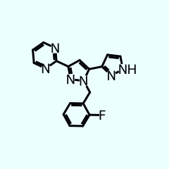 Fc1ccccc1Cn1nc(-c2ncccn2)cc1-c1cc[nH]n1